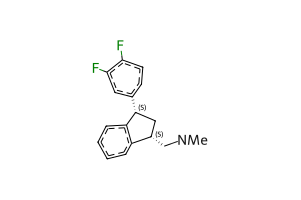 CNC[C@H]1C[C@@H](c2ccc(F)c(F)c2)c2ccccc21